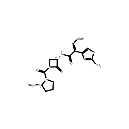 CON=C(C(=O)N[C@H]1CN(C(=O)N2CCC[C@H]2C(=O)O)C1=O)c1csc(N)n1